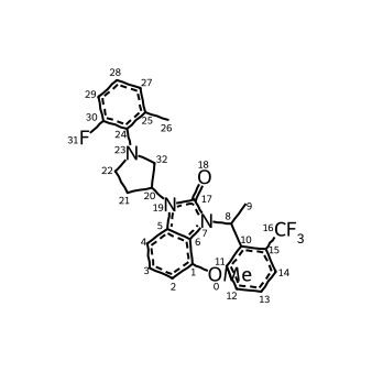 COc1cccc2c1n(C(C)c1ccccc1C(F)(F)F)c(=O)n2C1CCN(c2c(C)cccc2F)C1